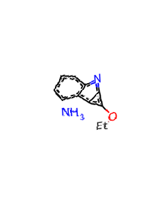 CCOc1c2nc3ccccc3c1-2.N